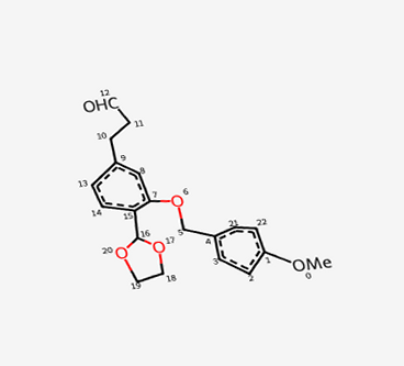 COc1ccc(COc2cc(CCC=O)ccc2C2OCCO2)cc1